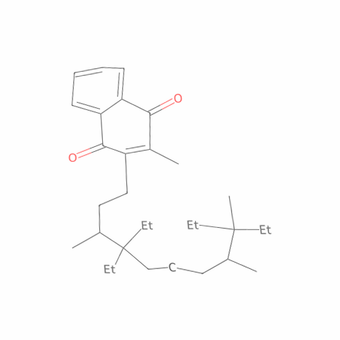 CCC(C)(CC)C(C)CCCC(CC)(CC)C(C)CCC1=C(C)C(=O)c2ccccc2C1=O